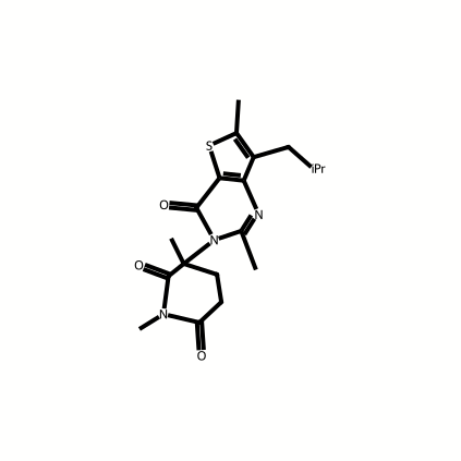 Cc1sc2c(=O)n(C3(C)CCC(=O)N(C)C3=O)c(C)nc2c1CC(C)C